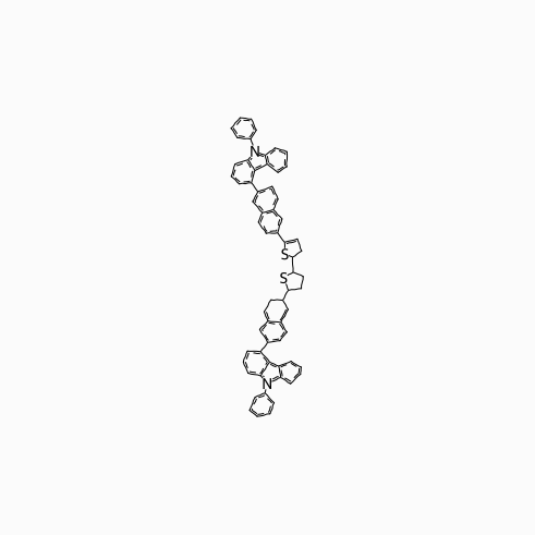 C1=C(c2ccc3cc(-c4cccc5c4c4ccccc4n5-c4ccccc4)ccc3c2)SC(C2CCC(C3C=c4ccc(-c5cccc6c5c5ccccc5n6-c5ccccc5)cc4=CC3)S2)C1